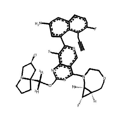 [2H]C([2H])(Oc1nc(N2CCOC[C@H]3[C@H](F)[C@H]32)c2cnc(-c3cc(N)cc4ccc(F)c(C#C)c34)c(F)c2n1)[C@@]12CCCN1C[C@@H](Cl)C2